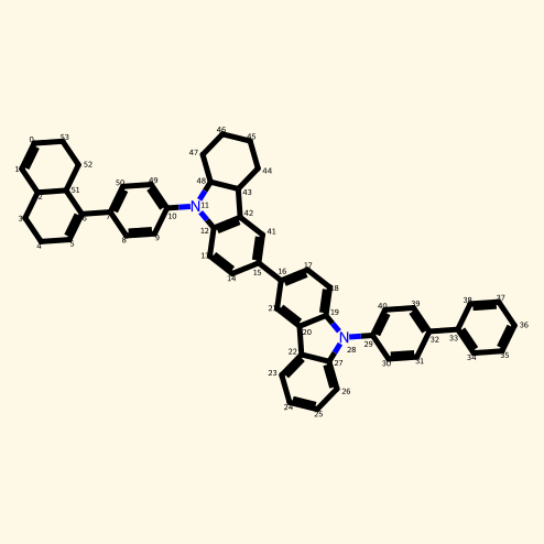 C1=CC2CCC=C(c3ccc(N4c5ccc(-c6ccc7c(c6)c6ccccc6n7-c6ccc(-c7ccccc7)cc6)cc5C5CCCCC54)cc3)C2CC1